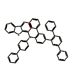 c1ccc(-c2ccc(N(c3ccc(-c4cc(-c5ccccc5)ccc4-c4ccccc4)cc3-c3ccccc3)c3cccc4c3sc3ccccc34)cc2)cc1